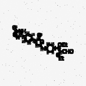 CCOC(C=O)C(OCC)N1CCN(CC2CN(c3ccc(-c4noc(=O)[nH]4)cc3)C(=O)O2)CC1